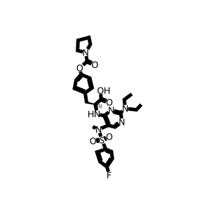 CCN(CC)c1ncc(N(C)S(=O)(=O)c2ccc(F)cc2)c(N[C@@H](Cc2ccc(OC(=O)N3CCCC3)cc2)C(=O)O)n1